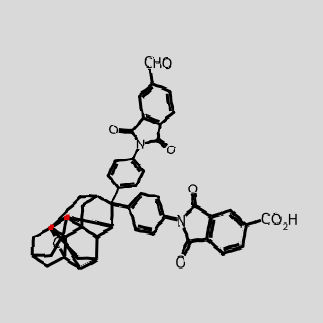 O=Cc1ccc2c(c1)C(=O)N(c1ccc(C3(c4ccc(N5C(=O)c6ccc(C(=O)O)cc6C5=O)cc4)C4CC56CC7CC8C9C%10CC%11CC9(C7)C5C(C%11)(C4)C%10C3C86)cc1)C2=O